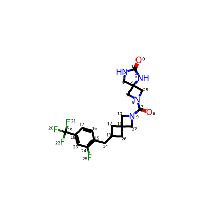 O=C1NCC2(CN(C(=O)N3CC4(CC(Cc5ccc(C(F)(F)F)cc5F)C4)C3)C2)N1